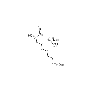 CCCCCCCCCCCCCCCCCC(O)OCC.O=S(=O)(O)O.[NaH]